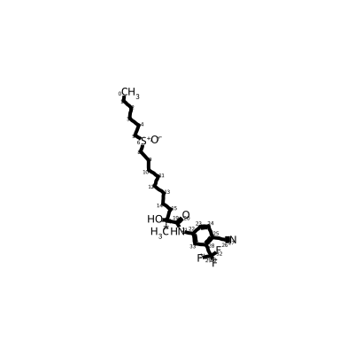 CCCCCC[S+]([O-])CCCCCCCC[C@](C)(O)C(=O)Nc1ccc(C#N)c(C(F)(F)F)c1